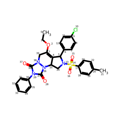 CCOC1=C2C(c3ccc(Cl)cc3)N(S(=O)(=O)c3ccc(C)cc3)CC2n2c(=O)n(-c3ccccc3)c(=O)n2C1